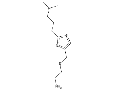 CN(C)CCCc1nc(CSCCN)cs1